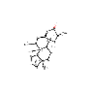 CCCC1CC2=CC(=O)C(OC(C)=O)C[C@@H]2[C@H]2CC[C@]3(C)CCC[C@H]3[C@H]12